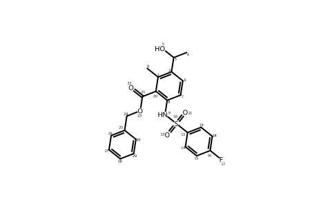 Cc1c(C(C)O)ccc(NS(=O)(=O)c2ccc(F)cc2)c1C(=O)OCc1ccccc1